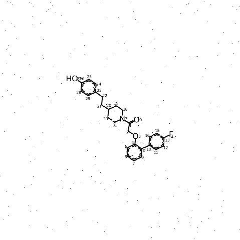 O=C(COc1ccccc1-c1ccc(F)cc1)N1CCC(CCc2ccc(O)cc2)CC1